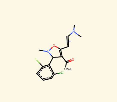 COC(=O)C1=C(/C=C/N(C)C)ON(C)C1c1c(F)cccc1Cl